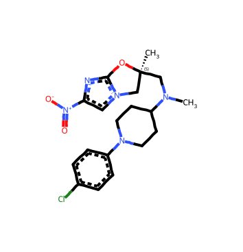 CN(C[C@@]1(C)Cn2cc([N+](=O)[O-])nc2O1)C1CCN(c2ccc(Cl)cc2)CC1